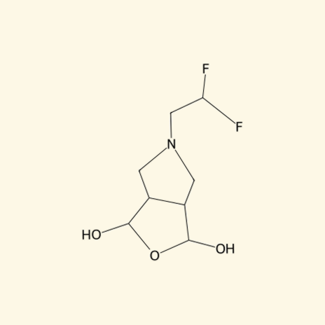 OC1OC(O)C2CN(CC(F)F)CC12